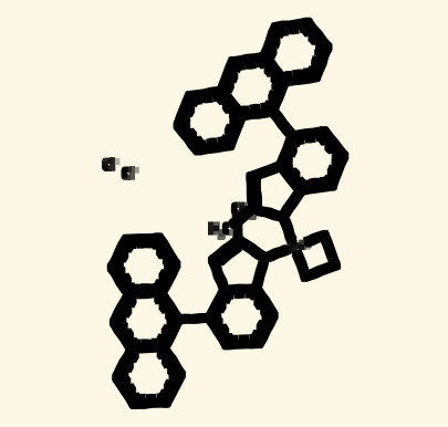 CC1=Cc2c(-c3c4ccccc4cc4ccccc34)cccc2[CH]1[Zr+2]1([CH]2C(C)=Cc3c(-c4c5ccccc5cc5ccccc45)cccc32)[CH2]C[CH2]1.[Cl-].[Cl-]